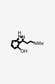 CNCCc1n[nH]c2cccc(O)c12